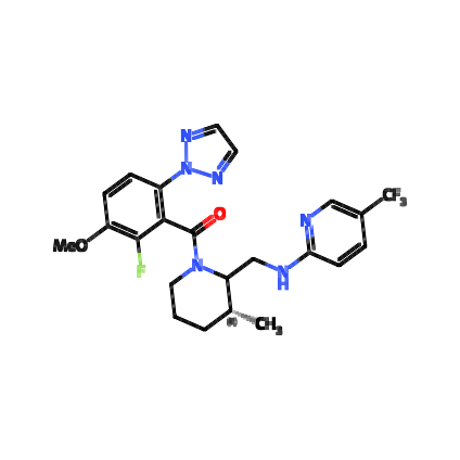 COc1ccc(-n2nccn2)c(C(=O)N2CCC[C@@H](C)C2CNc2ccc(C(F)(F)F)cn2)c1F